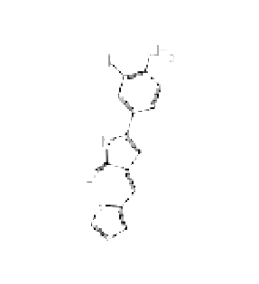 Cc1ccc(C2=CC(=Cc3cccs3)C(=O)N2)cc1I